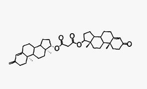 C=C1C=C2CCC3C(CC[C@@]4(C)C3CC[C@@H]4OC(=O)CC(=O)O[C@H]3CCC4C5CCC6=CC(=O)CC[C@]6(C)C5CC[C@@]43C)[C@@]2(C)CC1